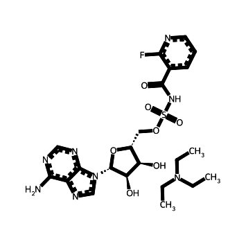 CCN(CC)CC.Nc1ncnc2c1ncn2[C@@H]1O[C@H](COS(=O)(=O)NC(=O)c2cccnc2F)[C@@H](O)[C@H]1O